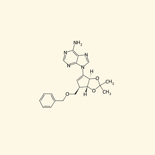 CC1(C)O[C@@H]2[C@@H](COCc3ccccc3)C=C(n3cnc4c(N)ncnc43)[C@H]2O1